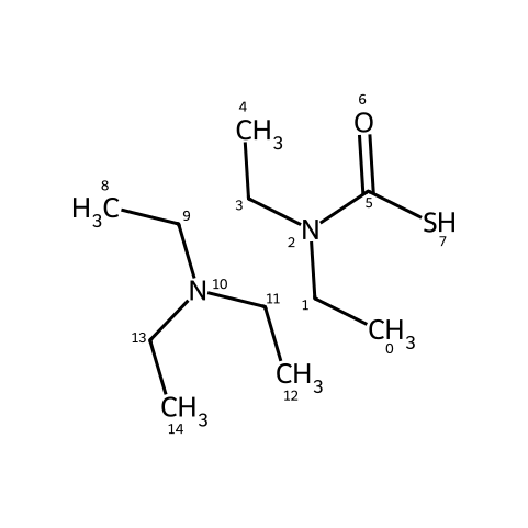 CCN(CC)C(=O)S.CCN(CC)CC